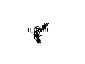 C[C@@H](NC(=O)C1(NC(=O)Oc2cncnc2)CC1)c1ncc(Nc2ccc(Br)cc2C(F)(F)F)cc1F